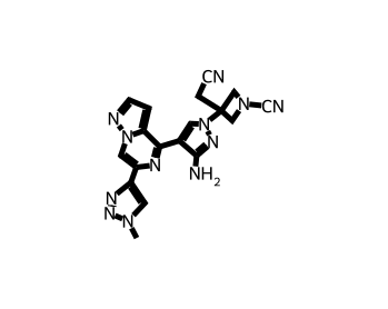 Cn1cc(-c2cn3nccc3c(-c3cn(C4(CC#N)CN(C#N)C4)nc3N)n2)nn1